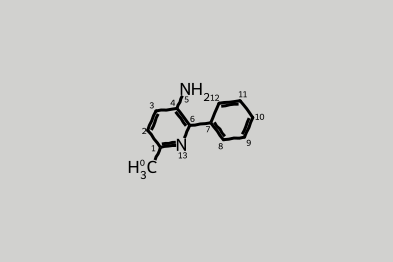 Cc1ccc(N)c(-c2ccccc2)n1